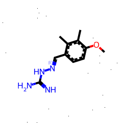 COc1ccc(/C=N/NC(=N)N)c(C)c1C